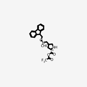 O=CN(CC1CN[C@H](C(=O)OC(=O)C(F)(F)F)C1)OCC1c2ccccc2-c2ccccc21